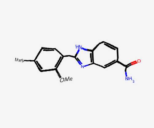 COc1cc(SC)ccc1-c1nc2cc(C(N)=O)ccc2[nH]1